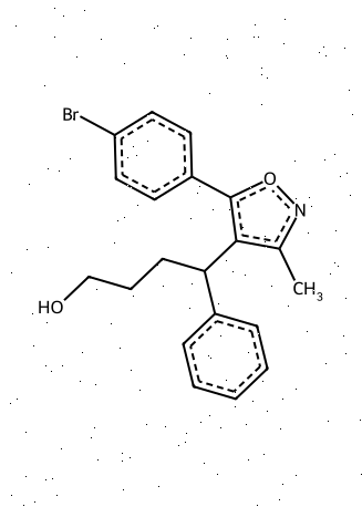 Cc1noc(-c2ccc(Br)cc2)c1C(CCCO)c1ccccc1